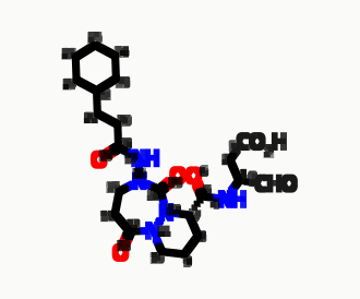 O=C[C@H](CC(=O)O)NC(=O)[C@@H]1CCCN2C(=O)CCN(NC(=O)CCC3CCCCC3)C(=O)N12